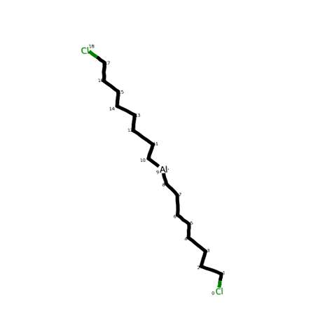 ClCCCCCCC[CH2][Al][CH2]CCCCCCCCl